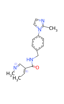 C/C=C(\C=N/C)C(=O)NCc1ccc(-n2ccnc2C)cc1